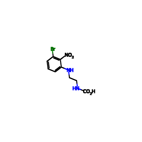 O=C(O)NCCNc1cccc(Br)c1[N+](=O)[O-]